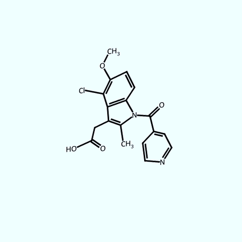 COc1ccc2c(c1Cl)c(CC(=O)O)c(C)n2C(=O)c1ccncc1